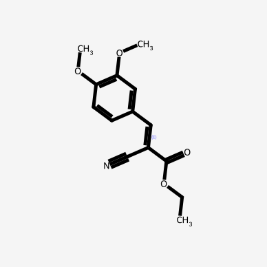 CCOC(=O)/C(C#N)=C/c1ccc(OC)c(OC)c1